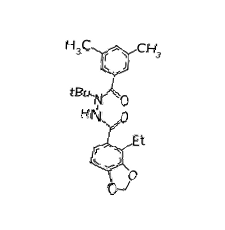 CCc1c(C(=O)NN(C(=O)c2cc(C)cc(C)c2)C(C)(C)C)ccc2c1OCO2